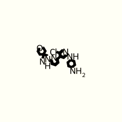 N#CC1(CNc2cccc(-c3cc(NC4CCC(N)CC4)ncc3Cl)n2)CCOCC1